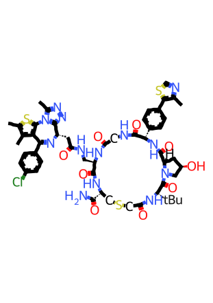 Cc1ncsc1-c1ccc([C@@H]2NC(=O)[C@@H]3C[C@@H](O)CN3C(=O)[C@H](C(C)(C)C)NC(=O)CSC[C@H](C(N)=O)NC(=O)[C@@H](CNC(=O)C[C@@H]3N=C(c4ccc(Cl)cc4)c4c(sc(C)c4C)-n4c(C)nnc43)NC(=O)CNC2=O)cc1